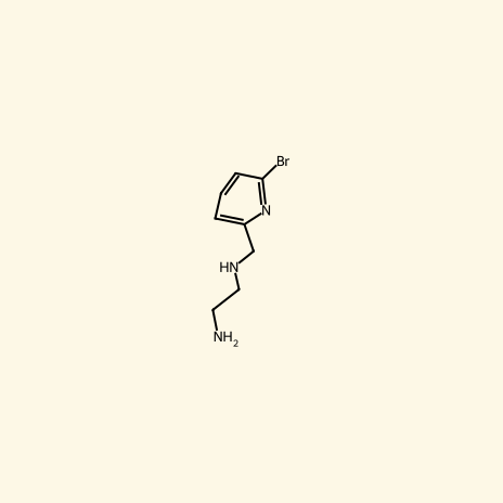 NCCNCc1cccc(Br)n1